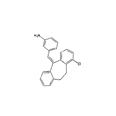 Nc1cccc(C=C2c3ccccc3CCc3c(Cl)cccc32)c1